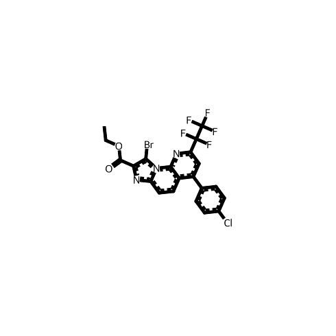 CCOC(=O)c1nc2ccc3c(-c4ccc(Cl)cc4)cc(C(F)(F)C(F)(F)F)nc3n2c1Br